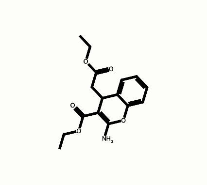 CCOC(=O)CC1C(C(=O)OCC)=C(N)Oc2ccccc21